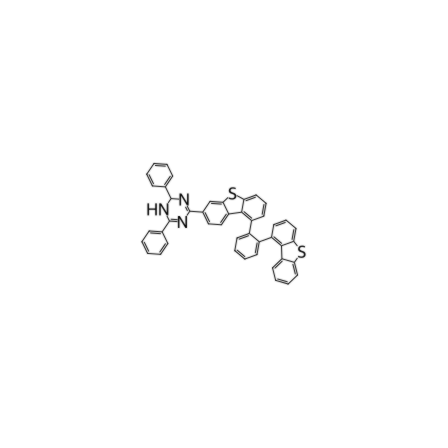 c1ccc(C2=NC(c3ccc4c(c3)sc3cccc(-c5ccccc5-c5cccc6sc7ccccc7c56)c34)=NC(c3ccccc3)N2)cc1